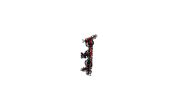 CCCCCC(CCCCC)CCOC(=O)CCCCCCCC(CCCCCCCC(=O)OCCC(CCCCC)CCCCC)OCCCN(C)C